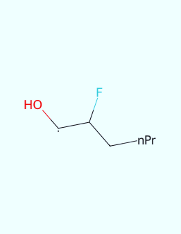 CCCCC(F)[CH]O